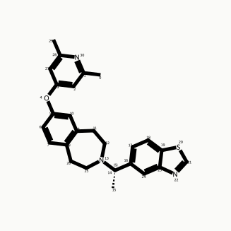 Cc1cc(Oc2ccc3c(c2)CCN([C@@H](C)c2ccc4scnc4c2)CC3)cc(C)n1